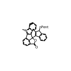 CCCCCC1C(C)=C(C23OC(=O)c4cccc(c42)-c2c3c3ccc#cc3n2C)c2ccccc21